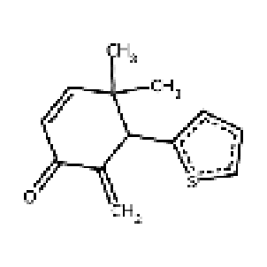 C=C1C(=O)C=CC(C)(C)C1c1cccs1